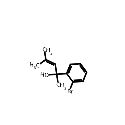 CC(C)=CC(C)(O)c1ccccc1Br